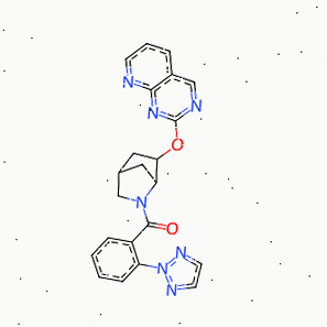 O=C(c1ccccc1-n1nccn1)N1CC2CC(Oc3ncc4cccnc4n3)C1C2